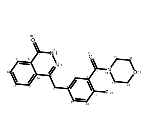 O=C(c1cc(Cc2n[nH]c(=O)c3ccccc23)ccc1F)N1CCOCC1